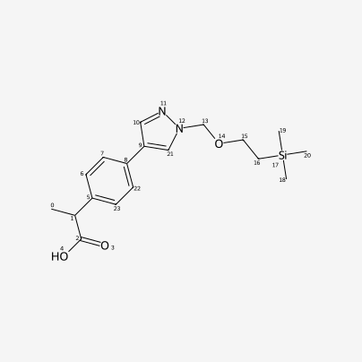 CC(C(=O)O)c1ccc(-c2cnn(COCC[Si](C)(C)C)c2)cc1